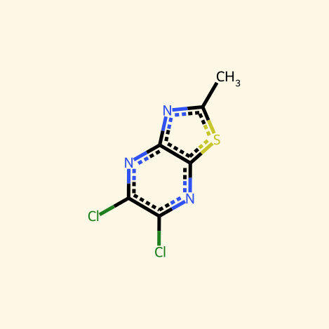 Cc1nc2nc(Cl)c(Cl)nc2s1